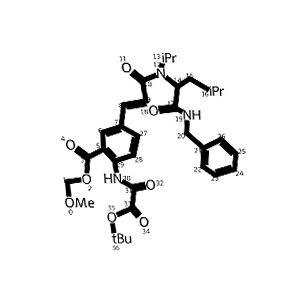 COCOC(=O)c1cc(C=CC(=O)N(C(C)C)C(CC(C)C)C(=O)NCc2ccccc2)ccc1NC(=O)C(=O)OC(C)(C)C